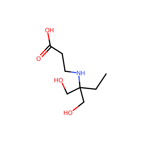 CCC(CO)(CO)NCCC(=O)O